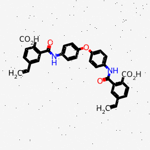 C=Cc1ccc(C(=O)O)c(C(=O)Nc2ccc(Oc3ccc(NC(=O)c4cc(C=C)ccc4C(=O)O)cc3)cc2)c1